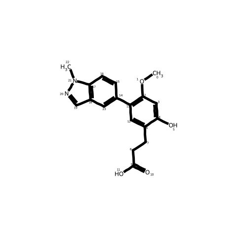 COc1cc(O)c(CCC(=O)O)cc1-c1ccc2c(cnn2C)c1